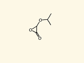 CC(C)OC1OC1=O